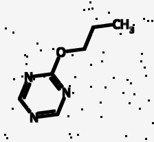 CCCOc1ncncn1